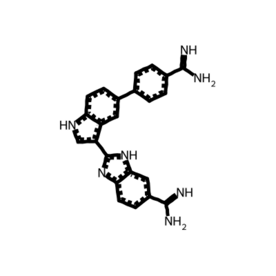 N=C(N)c1ccc(-c2ccc3[nH]cc(-c4nc5ccc(C(=N)N)cc5[nH]4)c3c2)cc1